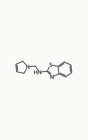 C1=CCN(CNc2nc3ccccc3s2)C1